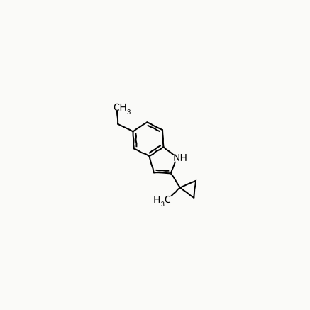 CCc1ccc2[nH]c(C3(C)CC3)cc2c1